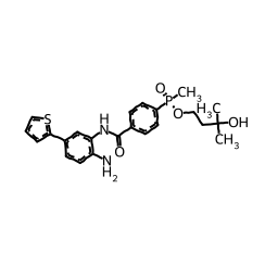 CC(C)(O)CCOP(C)(=O)c1ccc(C(=O)Nc2cc(-c3cccs3)ccc2N)cc1